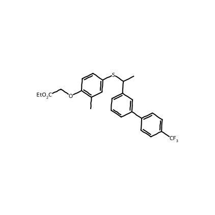 CCOC(=O)COc1ccc(SC(C)c2cccc(-c3ccc(C(F)(F)F)cc3)c2)cc1C